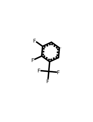 Fc1c[c]cc(C(F)(F)F)c1F